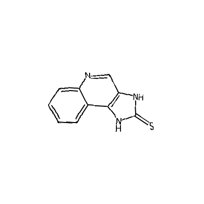 S=c1[nH]c2cnc3ccccc3c2[nH]1